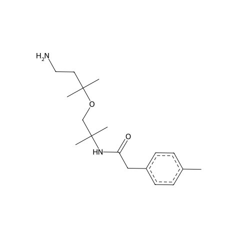 Cc1ccc(CC(=O)NC(C)(C)COC(C)(C)CCN)cc1